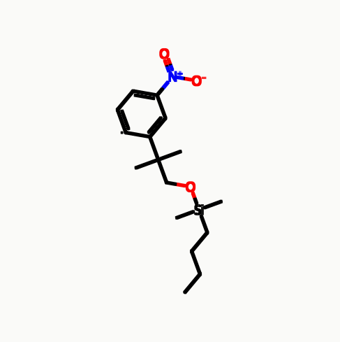 CCCC[Si](C)(C)OCC(C)(C)c1[c]ccc([N+](=O)[O-])c1